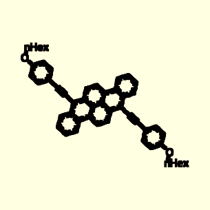 CCCCCCOc1ccc(C#Cc2c3ccccc3c3ccc4c(C#Cc5ccc(OCCCCCC)cc5)c5ccccc5c5ccc2c3c45)cc1